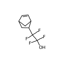 OC(F)(F)C(F)(F)C1CC2C=CC1C2